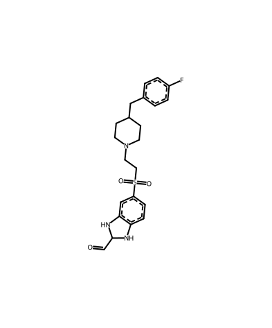 O=CC1Nc2ccc(S(=O)(=O)CCN3CCC(Cc4ccc(F)cc4)CC3)cc2N1